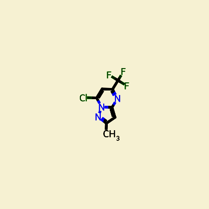 Cc1cc2nc(C(F)(F)F)cc(Cl)n2n1